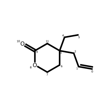 C=CCC1(CC)CCOC(=O)C1